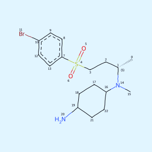 C[C@@H](CCS(=O)(=O)c1ccc(Br)cc1)N(C)C1CCC(N)CC1